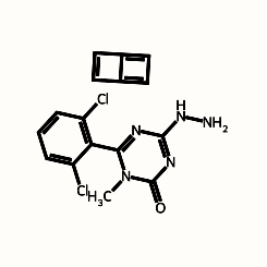 Cn1c(-c2c(Cl)cccc2Cl)nc(NN)nc1=O.c1cc2ccc1-2